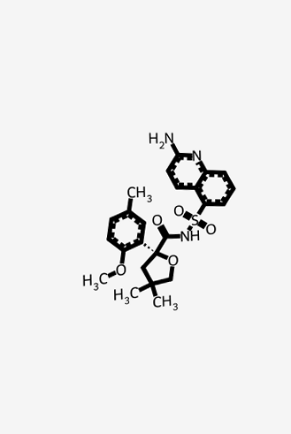 COc1ccc(C)cc1[C@@]1(C(=O)NS(=O)(=O)c2cccc3nc(N)ccc23)CC(C)(C)CO1